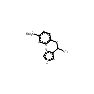 CCOC(=O)c1ccc(CC(C)c2cncs2)cc1